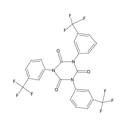 O=c1n(-c2cccc(C(F)(F)F)c2)c(=O)n(-c2cccc(C(F)(F)F)c2)c(=O)n1-c1cccc(C(F)(F)F)c1